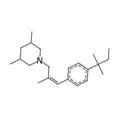 CCC(C)(C)c1ccc(C=C(C)CN2CC(C)CC(C)C2)cc1